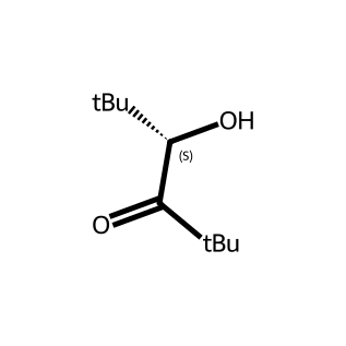 CC(C)(C)C(=O)[C@@H](O)C(C)(C)C